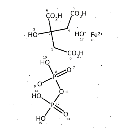 O=C(O)CC(O)(CC(=O)O)C(=O)O.O=P([O-])(O)OP(=O)(O)O.[Fe+2].[OH-]